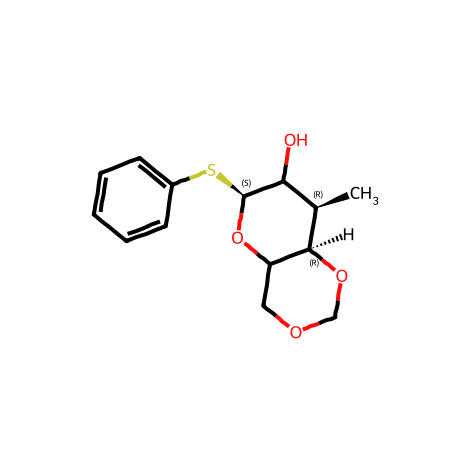 C[C@@H]1C(O)[C@H](Sc2ccccc2)OC2COCO[C@@H]21